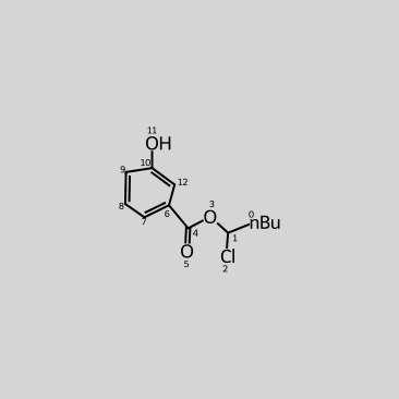 CCCCC(Cl)OC(=O)c1cccc(O)c1